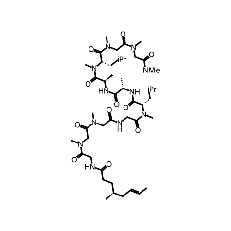 C/C=C/C[C@@H](C)CCC(=O)NCC(=O)N(C)CC(=O)N(C)CC(=O)NCC(=O)N(C)[C@@H](CC(C)C)C(=O)N[C@@H](C)C(=O)N[C@H](C)C(=O)N(C)[C@@H](CC(C)C)C(=O)N(C)CC(=O)N(C)CC(=O)NC